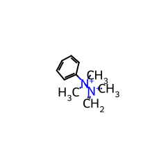 C=[N+](C)[N+](C)(C)c1ccccc1